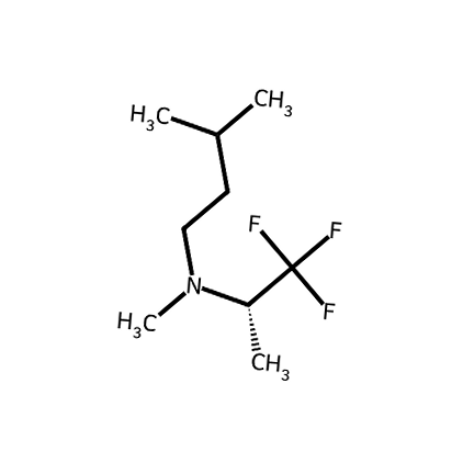 CC(C)CCN(C)[C@@H](C)C(F)(F)F